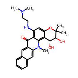 CN(C)CCNc1cc2c(c3c1c(=O)c1cc4ccccc4cc1n3C)[C@@H](O)[C@H](O)C(C)(C)O2